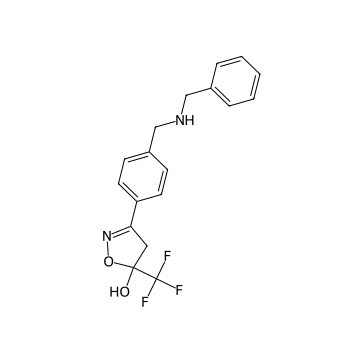 OC1(C(F)(F)F)CC(c2ccc(CNCc3ccccc3)cc2)=NO1